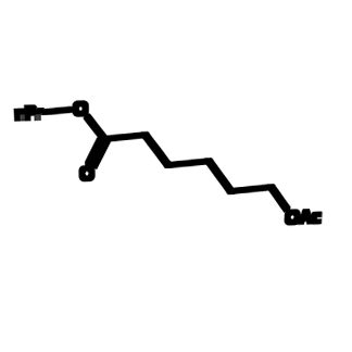 CCCOC(=O)CCCCCOC(C)=O